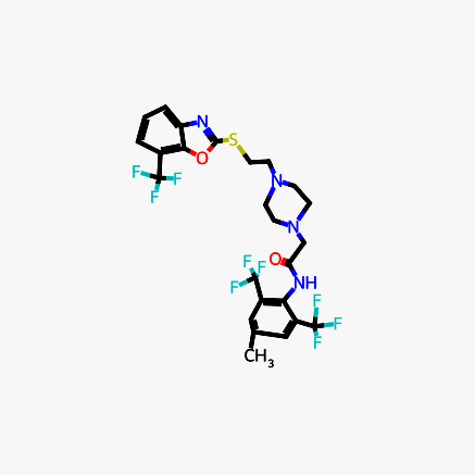 Cc1cc(C(F)(F)F)c(NC(=O)CN2CCN(CCSc3nc4cccc(C(F)(F)F)c4o3)CC2)c(C(F)(F)F)c1